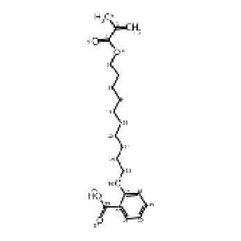 C=C(C)C(=O)OCCCCCCCCCCOc1ccccc1C(=O)O